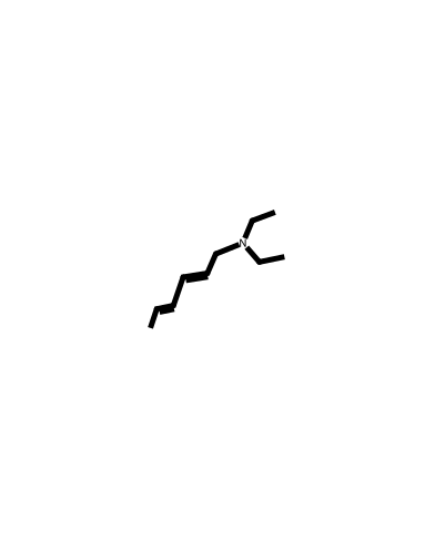 C/C=C/C=C/CN(CC)CC